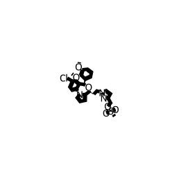 COc1cccc([C@H]2O[C@H](CCn3ccc(COS(C)(=O)=O)n3)c3cccn3-c3ccc(Cl)cc32)c1OC